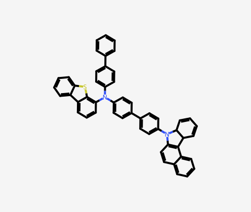 C1=CC2c3c(ccc4ccccc34)N(c3ccc(-c4ccc(N(c5ccc(-c6ccccc6)cc5)c5cccc6c5sc5ccccc56)cc4)cc3)C2C=C1